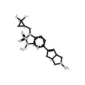 CN1CC2C=C(c3ccc4c(n3)N(C)S(=O)(=O)N4CC3CC3(F)F)CC2C1